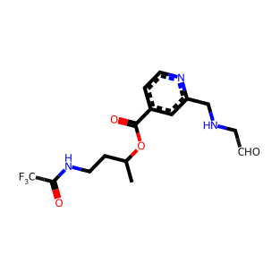 CC(CCNC(=O)C(F)(F)F)OC(=O)c1ccnc(CNCC=O)c1